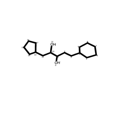 OC(CCC1CCCCC1)C(O)CC1CCCC1